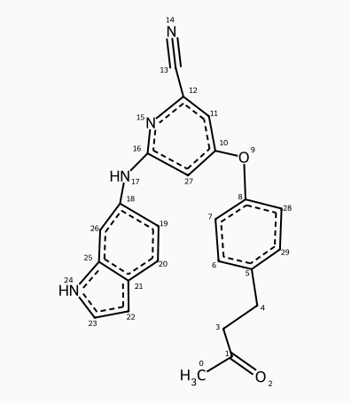 CC(=O)CCc1ccc(Oc2cc(C#N)nc(Nc3ccc4cc[nH]c4c3)c2)cc1